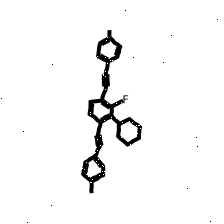 Cc1ccc(C#Cc2ccc(C#Cc3ccc(C)cc3)c(C3CCCCC3)c2F)cc1